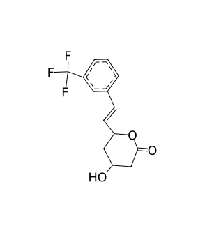 O=C1CC(O)CC(/C=C/c2cccc(C(F)(F)F)c2)O1